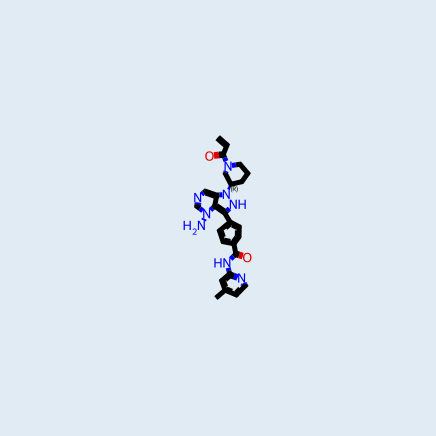 C=CC(=O)N1CCC[C@@H](N2NC(c3ccc(C(=O)Nc4cc(C)ccn4)cc3)=C3C2=CN=CN3N)C1